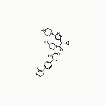 Cc1ncsc1-c1ccc([C@H](C)NC(=O)[C@@H]2C[C@@H](O)CN2C(=O)C(C2CC2)n2cc(N3CCNCC3)nn2)cc1